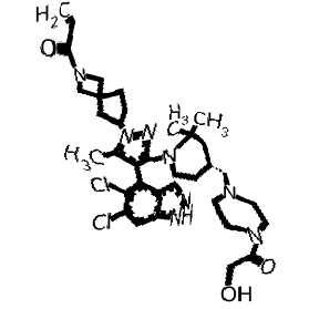 C=CC(=O)N1CC2(CC(n3nc(N4CC[C@@H](CN5CCN(C(=O)CO)CC5)CC4(C)C)c(-c4c(Cl)c(Cl)cc5[nH]ncc45)c3C)C2)C1